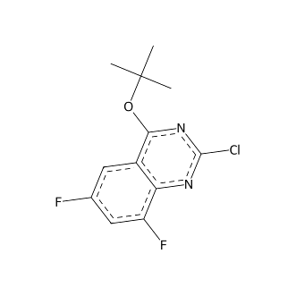 CC(C)(C)Oc1nc(Cl)nc2c(F)cc(F)cc12